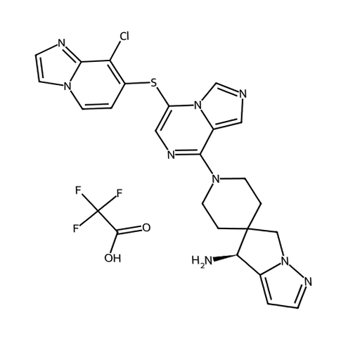 N[C@@H]1c2ccnn2CC12CCN(c1ncc(Sc3ccn4ccnc4c3Cl)n3cncc13)CC2.O=C(O)C(F)(F)F